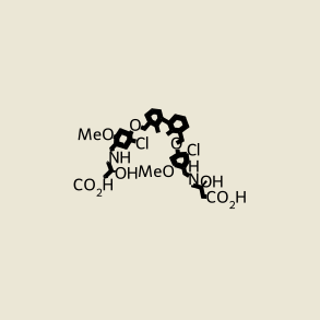 COc1cc(OCc2cccc(-c3cccc(COc4cc(OC)c(CNC[C@@H](O)CC(=O)O)cc4Cl)c3C)c2C)c(Cl)cc1CNC[C@@H](O)CC(=O)O